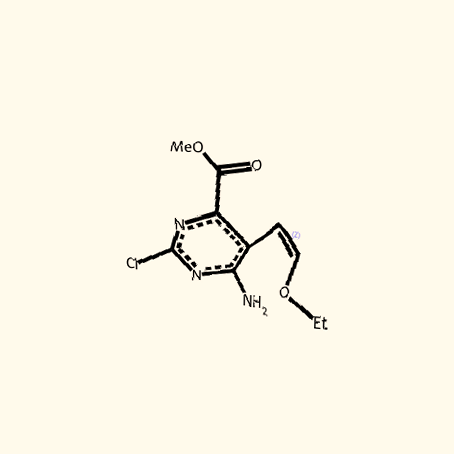 CCO/C=C\c1c(N)nc(Cl)nc1C(=O)OC